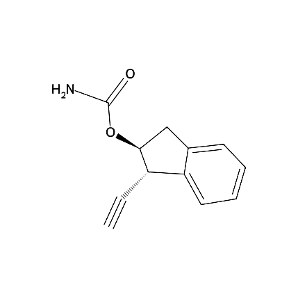 C#C[C@H]1c2ccccc2C[C@@H]1OC(N)=O